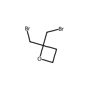 BrCC1(CBr)CCO1